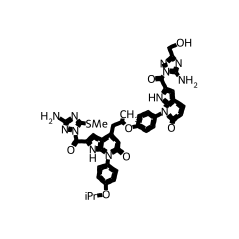 CSc1nc(N)nn1C(=O)c1cc2c(CC(C)Oc3ccc(-n4c(=O)ccc5cc(C(=O)n6nc(CO)nc6N)[nH]c54)cc3)cc(=O)n(-c3ccc(OC(C)C)cc3)c2[nH]1